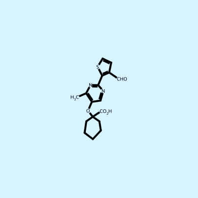 Cc1nc(-c2sccc2C=O)ncc1OC1(C(=O)O)CCCCC1